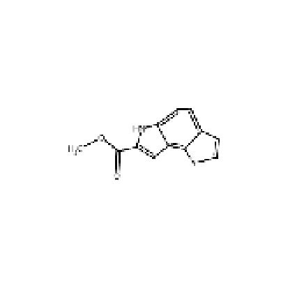 COC(=O)c1cc2c(ccc3ccsc32)[nH]1